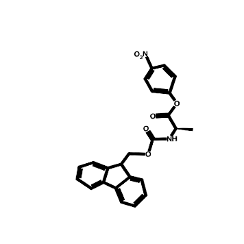 C[C@@H](NC(=O)OCC1c2ccccc2-c2ccccc21)C(=O)Oc1ccc([N+](=O)[O-])cc1